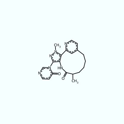 CC1CCCCc2ccnc(c2)-c2c(c(-n3cnccc3=O)nn2C)NC1=O